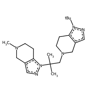 CN1CCc2c(cnn2C(C)(C)CN2CCc3c(cnn3C(C)(C)C)C2)C1